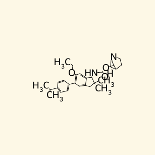 CCOc1cc2c(cc1-c1ccc(C(C)C)cc1)CC(C)(C)[C@H]2NC(=O)O[C@H]1CN2CCC1CC2